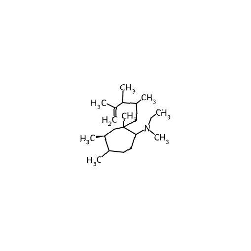 C=C(C)C(C)C(C)CC1(C)C[C@H](C)C(C)CCC1N(C)CC